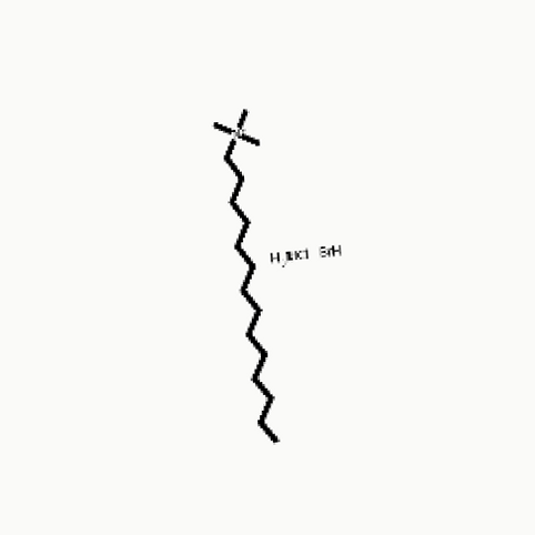 Br.CCCCCCCCCCCCCC[N+](C)(C)C.Cl.N